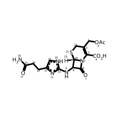 CC(=O)OCC1=C(C(=O)O)N2C(=O)C(Nc3nc(CCC(N)=O)c[nH]3)[C@@H]2SC1